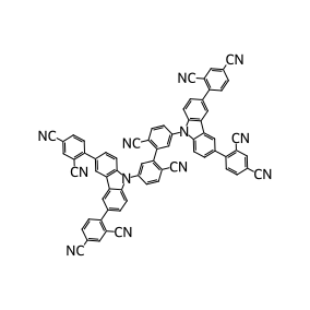 N#Cc1ccc(-c2ccc3c(c2)c2cc(-c4ccc(C#N)cc4C#N)ccc2n3-c2ccc(C#N)c(-c3cc(-n4c5ccc(-c6ccc(C#N)cc6C#N)cc5c5cc(-c6ccc(C#N)cc6C#N)ccc54)ccc3C#N)c2)c(C#N)c1